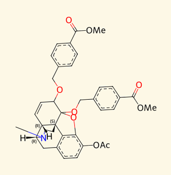 COC(=O)c1ccc(COC2C=C[C@H]3[C@H]4Cc5ccc(OC(C)=O)c6c5[C@@]3(CCN4C)C2(OCc2ccc(C(=O)OC)cc2)O6)cc1